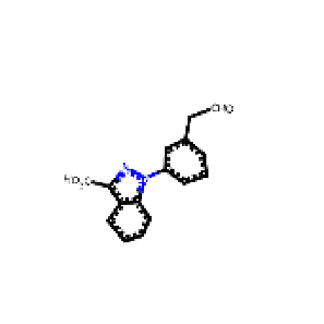 O=CCc1cccc(-n2nc(C(=O)O)c3ccccc32)c1